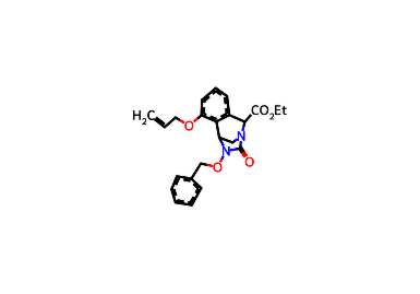 C=CCOc1cccc2c1C1CN(C(=O)N1OCc1ccccc1)C2C(=O)OCC